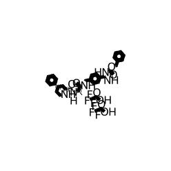 C[C@H](NC(=O)[C@H]1C[C@@H](c2ccccc2)CCN1)C(=O)NCc1ccc(C(=N)NC(=O)OCc2ccccc2)cc1.O=C(O)C(F)(F)F.O=C(O)C(F)(F)F